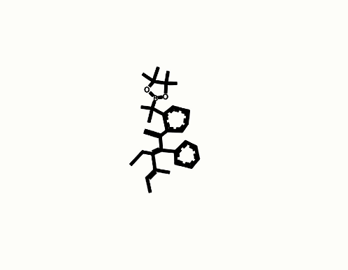 C=C(/C(=C(CC)/C(C)=C/C)c1ccccc1)c1ccccc1C(C)(C)B1OC(C)(C)C(C)(C)O1